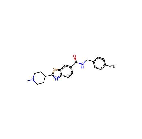 CN1CCC(c2nc3ccc(C(=O)NCc4ccc(C#N)cc4)cc3s2)CC1